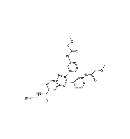 C#CCNC(=O)c1ccc2nc(-c3cccc(NC(=O)COC)c3)c(-c3cccc(NC(=O)COC)c3)nc2c1